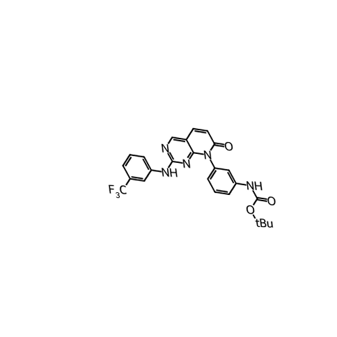 CC(C)(C)OC(=O)Nc1cccc(-n2c(=O)ccc3cnc(Nc4cccc(C(F)(F)F)c4)nc32)c1